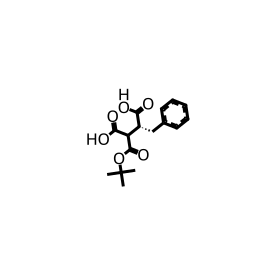 CC(C)(C)OC(=O)C(C(=O)O)[C@@H](Cc1ccccc1)C(=O)O